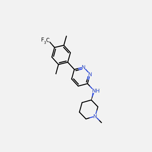 Cc1cc(C(F)(F)F)c(C)cc1-c1ccc(N[C@@H]2CCCN(C)C2)nn1